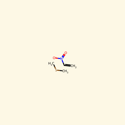 C=C[N+](=O)[O-].CSC